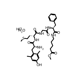 COC(=O)CCCCNC(=O)[C@H](Cc1ccccc1)NC(=O)CNC(=O)[C@@H](CCSC)NC(=O)[C@@H](N)Cc1c(C)cc(O)cc1C.Cl.O